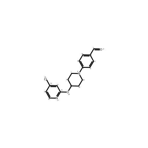 O=Cc1ccc(N2CCC(Oc3cc(Cl)ccn3)CC2)cc1